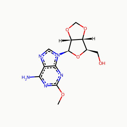 COc1nc(N)c2ncn([C@@H]3O[C@H](CO)[C@H]4OCO[C@H]43)c2n1